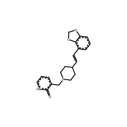 O=c1[nH]cccc1CN1CCC(C=Cc2cccc3c2OCO3)CC1